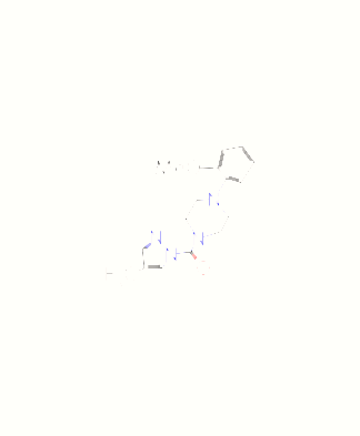 COc1ccccc1N1CCN(C(=O)n2cc(C(F)(F)F)cn2)CC1